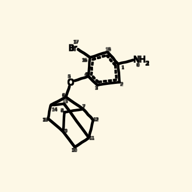 Nc1ccc(OC2C3CC4CC(C3)CC2C4)c(Br)c1